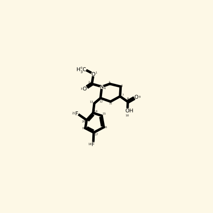 COC(=O)N1CCC(C(=O)O)CC1Cc1ccc(F)cc1F